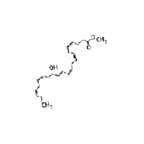 CC/C=C\C/C=C\CC(O)/C=C/C=C\C/C=C\C/C=C\CCC(=O)OC